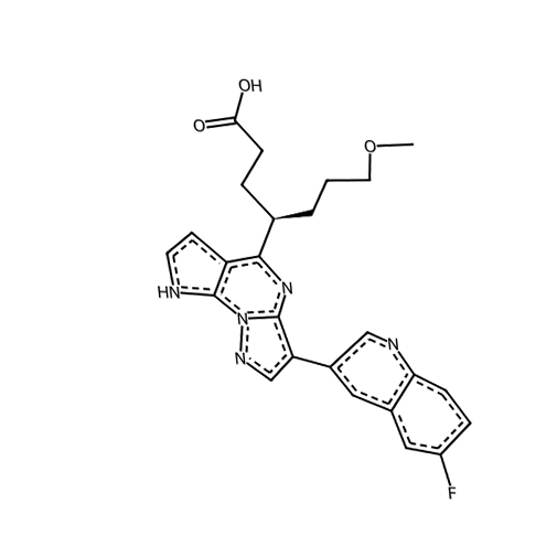 COCCC[C@H](CCC(=O)O)c1nc2c(-c3cnc4ccc(F)cc4c3)cnn2c2[nH]ccc12